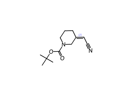 CC(C)(C)OC(=O)N1CCC/C(=C/C#N)C1